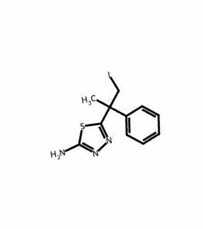 CC(CI)(c1ccccc1)c1nnc(N)s1